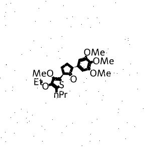 CCCc1sc([C@H]2CC[C@H](c3cc(OC)c(OC)c(OC)c3)C2=O)c(OC)c1OCC